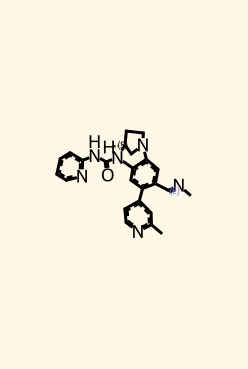 C/N=C/c1cc2c(cc1-c1ccnc(C)c1)N(C(=O)Nc1ccccn1)[C@H]1CCN2C1